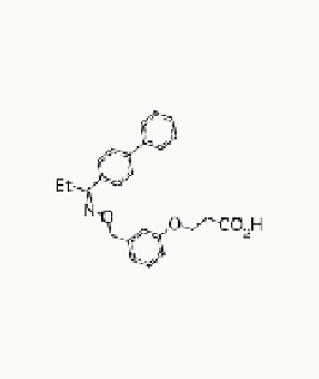 CCC(=NOCc1cccc(OCCC(=O)O)c1)c1ccc(-c2ccccc2)cc1